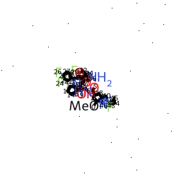 COc1cc(C(=O)NC[C@@](O)(c2ccccc2)c2cc3c(c(-c4cc(F)c(F)cc4F)n2)OC[C@]3(C)C(N)=O)cc2cn(C3(F)CC3)nc12